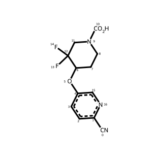 N#Cc1ccc(OC2CCN(C(=O)O)CC2(F)F)cn1